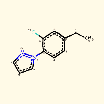 CCc1ccc(-n2cccn2)c(F)c1